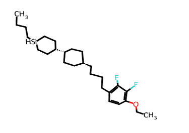 CCCC[SiH]1CCC([C@H]2CC[C@H](CCCCc3ccc(OCC)c(F)c3F)CC2)CC1